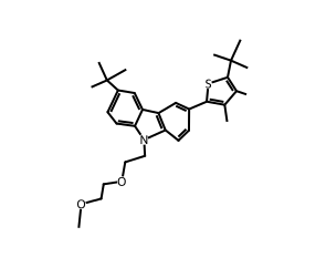 COCCOCCn1c2ccc(-c3sc(C(C)(C)C)c(C)c3C)cc2c2cc(C(C)(C)C)ccc21